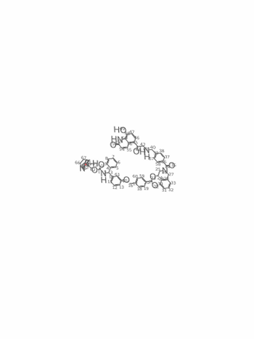 O=C(NC(c1ccccc1)c1cccc(OCc2ccc(C(=O)OCCN(Cc3ccccc3)C(=O)c3ccc(CNCC(O)c4ccc(O)c5[nH]c(=O)ccc45)cc3)cc2)c1)O[C@H]1CN2CCC1CC2